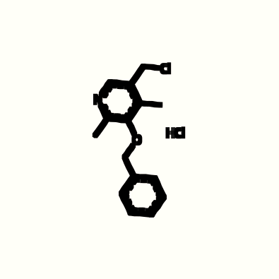 Cc1ncc(CCl)c(C)c1OCc1ccccc1.Cl